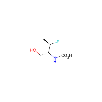 C[C@@H](F)[C@@H](CO)NC(=O)O